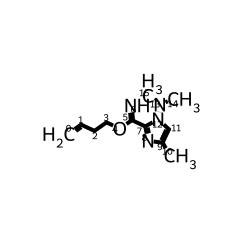 C=CCCOC(=N)c1nc(C)cn1N(C)C